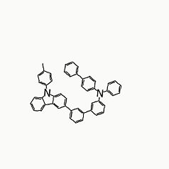 Cc1ccc(-n2c3ccccc3c3cc(-c4cccc(-c5cccc(N(c6ccccc6)c6ccc(-c7ccccc7)cc6)c5)c4)ccc32)cc1